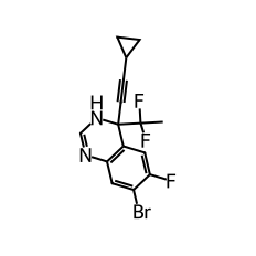 CC(F)(F)C1(C#CC2CC2)NC=Nc2cc(Br)c(F)cc21